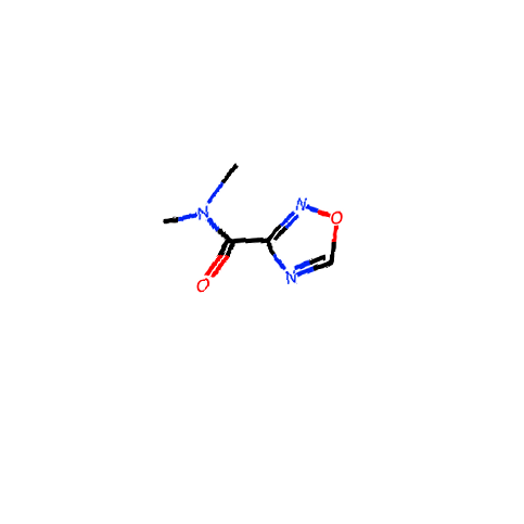 CN(C)C(=O)c1ncon1